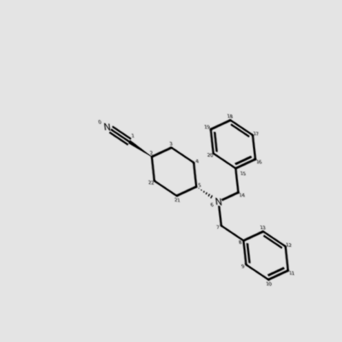 N#C[C@H]1CC[C@H](N(Cc2ccccc2)Cc2ccccc2)CC1